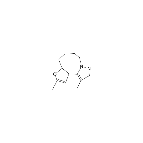 CC1=CC2c3c(C)cnn3CCCCC2O1